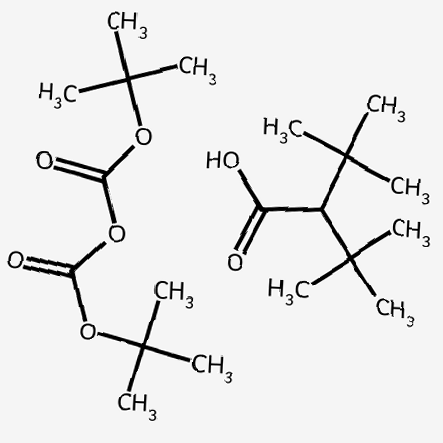 CC(C)(C)C(C(=O)O)C(C)(C)C.CC(C)(C)OC(=O)OC(=O)OC(C)(C)C